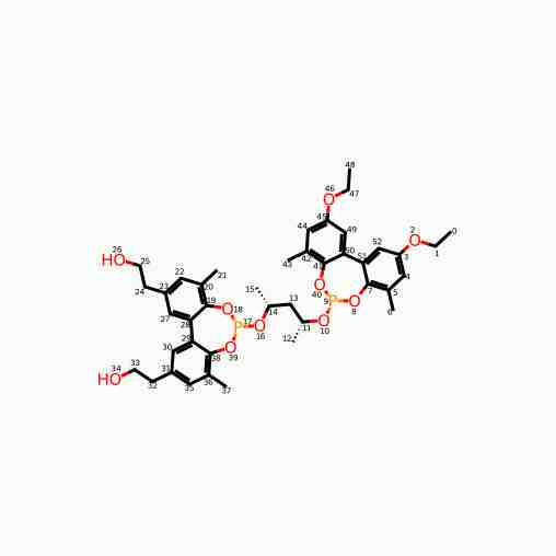 CCOc1cc(C)c2op(O[C@H](C)C[C@@H](C)Op3oc4c(C)cc(CCO)cc4c4cc(CCO)cc(C)c4o3)oc3c(C)cc(OCC)cc3c2c1